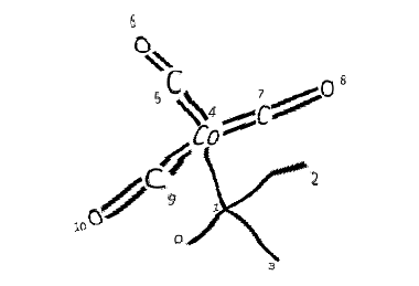 C[C](C)(C)[Co](=[C]=O)(=[C]=O)=[C]=O